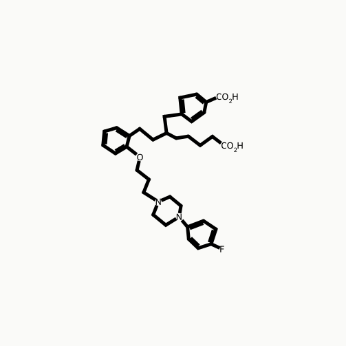 O=C(O)CCCCC(CCc1ccccc1OCCCN1CCN(c2ccc(F)cc2)CC1)Cc1ccc(C(=O)O)cc1